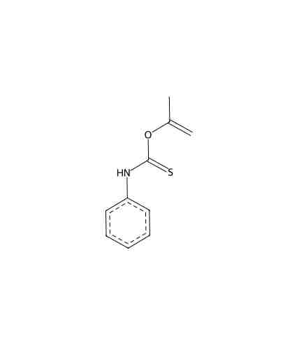 C=C(C)OC(=S)Nc1ccccc1